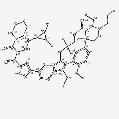 CCCN1CC[C@@](C)(c2cnc(CC)c(-c3c(CC(C)(C)COC=O)c4cc(-c5csc(C(Cl)C(NC(=O)C6C(C)C6C)C(=O)N6CCCCN6)n5)ccc4n3CC)c2)CC1CC